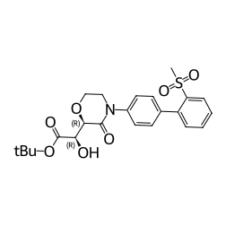 CC(C)(C)OC(=O)[C@H](O)[C@H]1OCCN(c2ccc(-c3ccccc3S(C)(=O)=O)cc2)C1=O